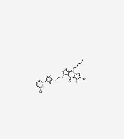 CCCCCn1c2nc(Br)[nH]c2c(=O)n2c(CCCc3nc(-c4cccc(O)c4)no3)nnc12